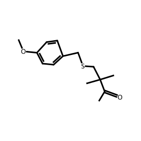 COc1ccc(CSCC(C)(C)C(C)=O)cc1